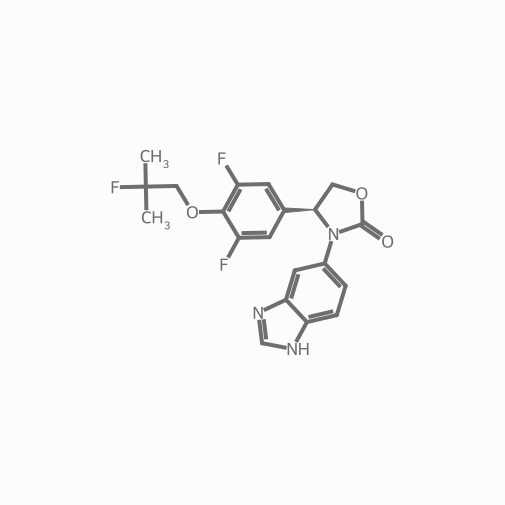 CC(C)(F)COc1c(F)cc([C@H]2COC(=O)N2c2ccc3[nH]cnc3c2)cc1F